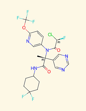 C[C@](C(=O)NC1CCC(F)(F)CC1)(c1cncnc1)N(C(=O)[C@H](F)Cl)c1ccc(OC(F)(F)F)nc1